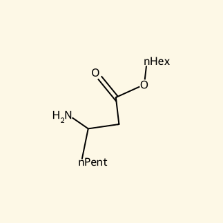 CCCCCCOC(=O)CC(N)CCCCC